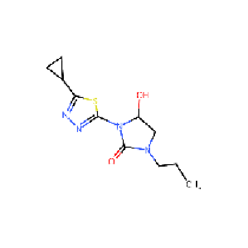 CCCN1CC(O)N(c2nnc(C3CC3)s2)C1=O